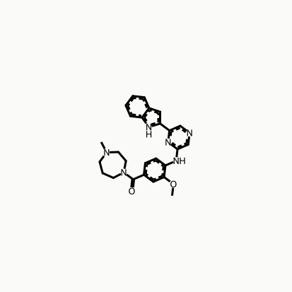 COc1cc(C(=O)N2CCCN(C)CC2)ccc1Nc1cncc(-c2cc3ccccc3[nH]2)n1